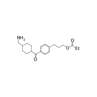 CCC(=O)OCCCc1ccc(C(=O)C2CCC(CN)CC2)cc1